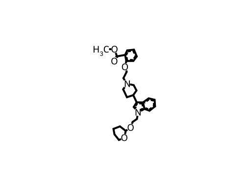 COC(=O)c1ccccc1OCCN1CCC(c2cn(CCOC3CCCCO3)c3ccccc23)CC1